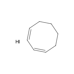 C1=C\CCCC\C=C/1.I